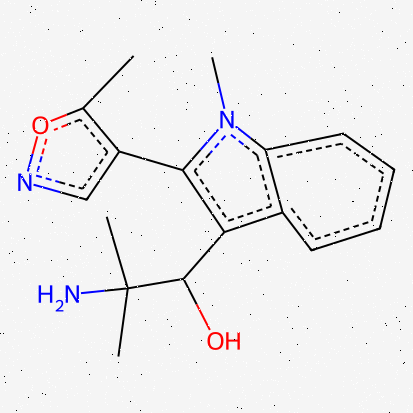 Cc1oncc1-c1c(C(O)C(C)(C)N)c2ccccc2n1C